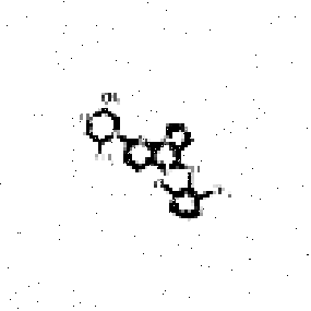 Cc1cccc(Cl)c1Nc1nc2ccc(N3C[C@@H](C)NC[C@@H]3C)nc2n2cncc12